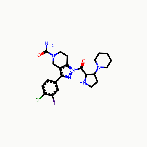 NC(=O)N1CCc2c(c(-c3ccc(Cl)c(I)c3)nn2C(=O)C2NCCC2N2CCCCC2)C1